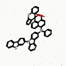 c1ccc(N(c2ccc3c(c2)c2ccccc2n3-c2ccc3c(c2)sc2ccccc23)c2ccc3c4c(cccc24)C2(c4ccccc4Sc4ccccc42)c2ccccc2-3)cc1